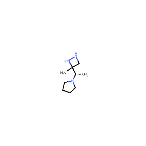 C[C@H](N1CCCC1)C1(C)CNN1